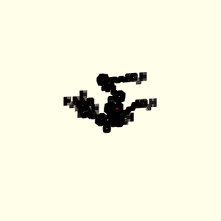 CN(C(=O)c1ccc(NCc2cnc3nc(N)[nH]c(=O)c3n2)cc1)[C@@H](Cc1ccc(OC2=C(/C=C/C3=[N+](CCCCS(=O)(=O)O)c4ccccc4C3(C)C)CCC/C2=C\C=C2\N(CCCCS(=O)(=O)O)c3ccccc3C2(C)C)cc1)C(=O)O